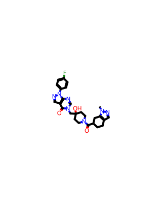 Cn1ncc2c1CC(C(=O)N1CCC(O)(Cn3cnc4c(cnn4-c4ccc(F)cc4)c3=O)CC1)CC2